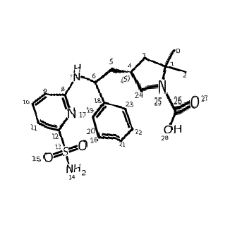 CC1(C)C[C@H](CC(Nc2cccc(S(N)(=O)=O)n2)c2ccccc2)CN1C(=O)O